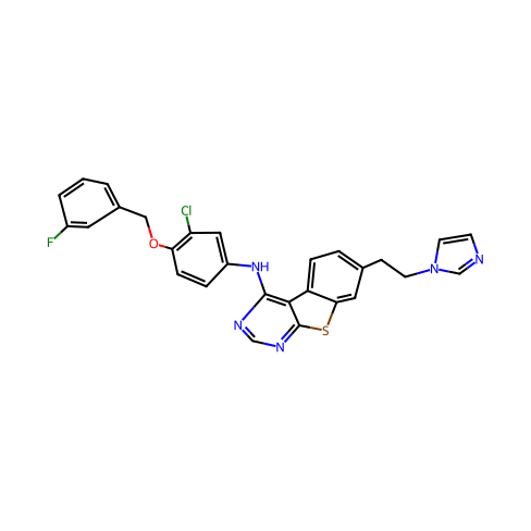 Fc1cccc(COc2ccc(Nc3ncnc4sc5cc(CCn6ccnc6)ccc5c34)cc2Cl)c1